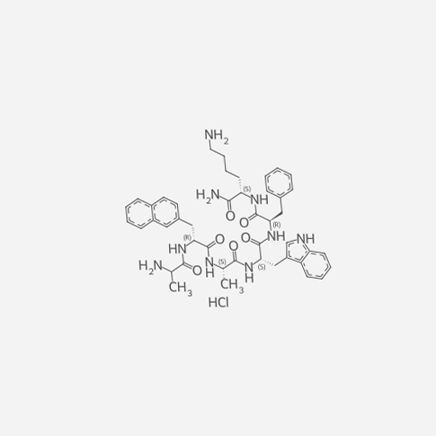 CC(N)C(=O)N[C@H](Cc1ccc2ccccc2c1)C(=O)N[C@@H](C)C(=O)N[C@@H](Cc1c[nH]c2ccccc12)C(=O)N[C@H](Cc1ccccc1)C(=O)N[C@@H](CCCCN)C(N)=O.Cl